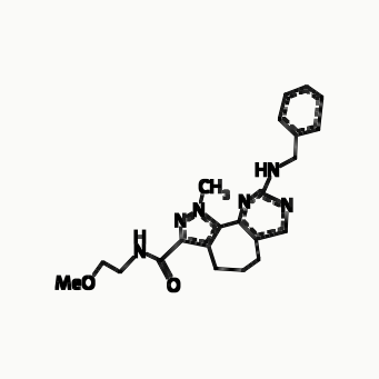 COCCNC(=O)c1nn(C)c2c1CCCc1cnc(NCc3ccccc3)nc1-2